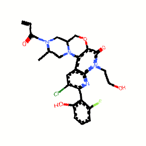 C=CC(=O)N1CC2COc3c(c4cc(Cl)c(-c5c(O)cccc5F)nc4n(CCO)c3=O)N2CC1C